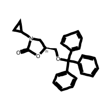 O=C1O[C@H](COC(c2ccccc2)(c2ccccc2)c2ccccc2)CN1C1CC1